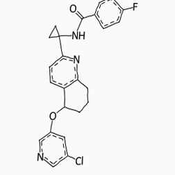 O=C(NC1(c2ccc3c(n2)CCCC3Oc2cncc(Cl)c2)CC1)c1ccc(F)cc1